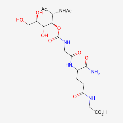 CC(=O)N[C@@H](C(C)=O)[C@@H](OC(=O)NCC(=O)NC(CCC(=O)NCC(=O)O)C(N)=O)[C@H](O)[C@H](O)CO